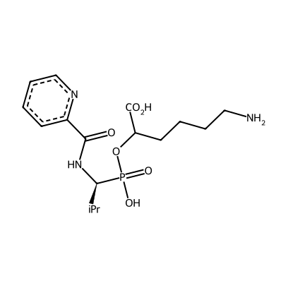 CC(C)[C@@H](NC(=O)c1ccccn1)P(=O)(O)OC(CCCCN)C(=O)O